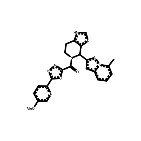 COc1ccc(-c2nnc(C(=O)N3CCc4[nH]cnc4C3c3cc4cccc(C)n4n3)o2)nc1